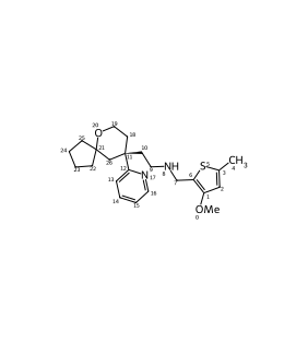 COc1cc(C)sc1CNCC[C@]1(c2ccccn2)CCOC2(CCCC2)C1